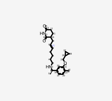 C[C@@H](NCCCC/C=C/CC1CCC(=O)NC1=O)c1ccc(F)c(OCC2CC2)c1